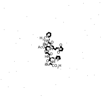 CCC(C)C(NC(=O)[C@H](CSc1cccs1)NC(=O)c1csc([C@@H](C[C@H](C(C)C)N(CCCCN2C(=O)C=CC2=O)C(=O)[C@@H](NC[C@H]2CCCCN2C)[C@@H](C)CC)OC(C)=O)n1)C(=O)O